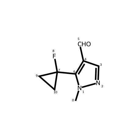 Cn1ncc(C=O)c1C1(F)CC1